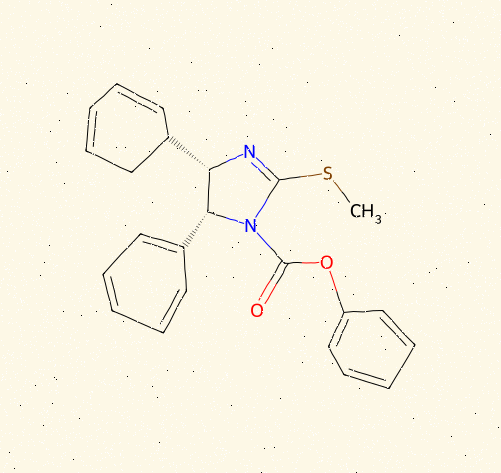 CSC1=N[C@@H](C2C=CC=CC2)[C@@H](c2ccccc2)N1C(=O)Oc1ccccc1